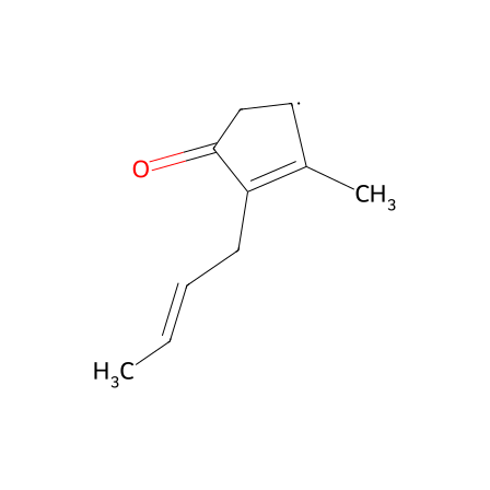 CC=CCC1=C(C)[CH]CC1=O